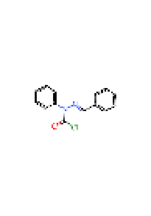 O=C(Cl)N(N=Cc1ccccc1)c1ccccc1